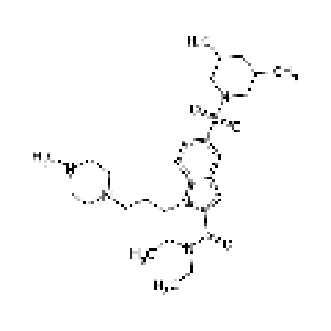 CCN(CC)C(=O)c1cc2cc(S(=O)(=O)N3CC(C)CC(C)C3)ccc2n1CCCN1CCN(C)CC1